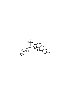 CN1CC[C@@H](Nc2cccc3c(CC(F)(F)F)c(C#CCNC(=O)C4(C)CC4)nn23)[C@@H](F)C1